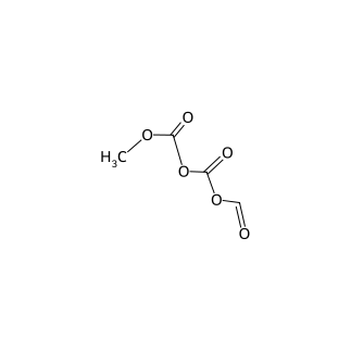 COC(=O)OC(=O)OC=O